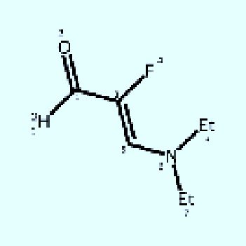 [2H]C(=O)C(F)=CN(CC)CC